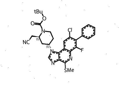 CSc1nc2c(F)c(-c3ccccc3)c(Cl)cc2c2c1ncn2[C@H]1CCN(C(=O)OC(C)(C)C)[C@H](CC#N)C1